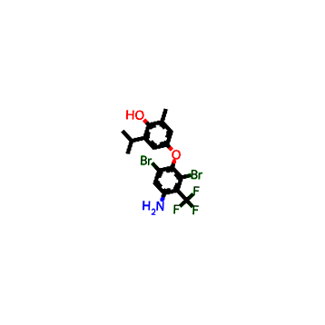 Cc1cc(Oc2c(Br)cc(N)c(C(F)(F)F)c2Br)cc(C(C)C)c1O